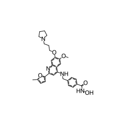 COc1cc2c(NCc3ccc(C(=O)NO)cc3)cc(-c3ccc(C)o3)nc2cc1OCCCN1CCCC1